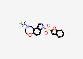 CN1CCOc2ccc3c(ccn3S(=O)(=O)c3cc4ccccc4o3)c2C1